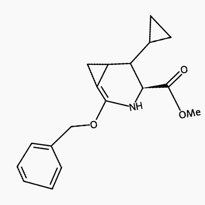 COC(=O)[C@H]1NC(OCc2ccccc2)=C2CC2C1C1CC1